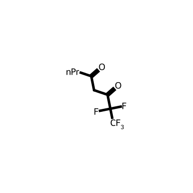 CCCC(=O)CC(=O)C(F)(F)C(F)(F)F